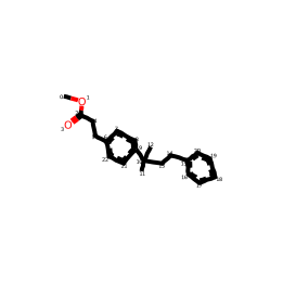 COC(=O)CCc1ccc(C(C)(C)CCc2ccccc2)cc1